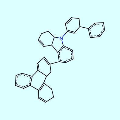 C1=CC2=C(CC1)C1CC(c3cccc4c3C3C=CCCC3N4C3=CC(c4ccccc4)CC=C3)=CC=C1c1ccccc12